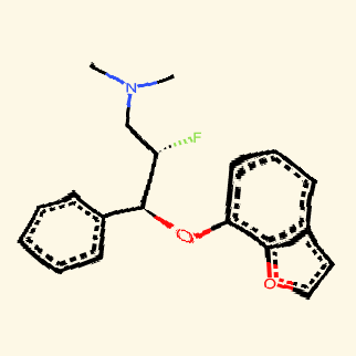 CN(C)C[C@H](F)[C@@H](Oc1cccc2ccoc12)c1ccccc1